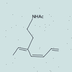 C=C/C=C\C(=C/C)CCNC(C)=O